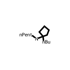 CCCCC[N]C1(CCCC)CCCC1